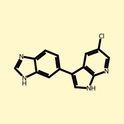 Clc1cnc2[nH]cc(-c3ccc4nc[nH]c4c3)c2c1